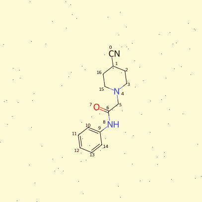 N#C[C]1CCN(CC(=O)Nc2ccccc2)CC1